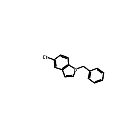 CCc1ccc2c(ccn2Cc2ccccc2)c1